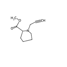 C#CCN1CCCCC1C(=O)OC